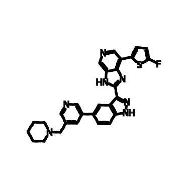 Fc1ccc(-c2cncc3[nH]c(-c4n[nH]c5ccc(-c6cncc(CN7CCCCC7)c6)cc45)nc23)s1